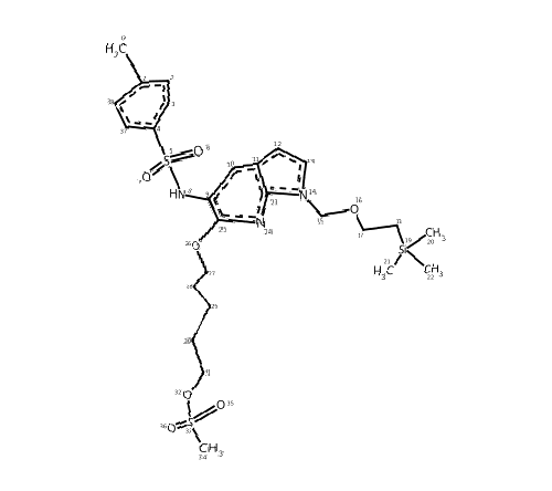 Cc1ccc(S(=O)(=O)Nc2cc3ccn(COCC[Si](C)(C)C)c3nc2OCCCCCOS(C)(=O)=O)cc1